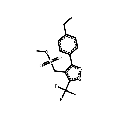 CCc1ccc(-c2nsc(C(F)(F)F)c2CS(=O)(=O)OC)cc1